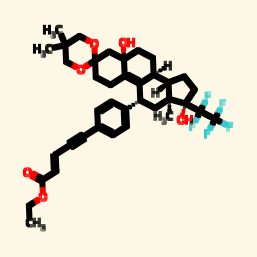 CCOC(=O)/C=C/C#Cc1ccc([C@H]2C[C@@]3(C)[C@@H](CC[C@@]3(O)C(F)(F)C(F)(F)F)[C@@H]3CC[C@@]4(O)CC5(CCC4=C32)OCC(C)(C)CO5)cc1